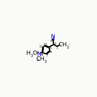 [CH2]CC(C#N)c1ccc(N(C)C)cc1